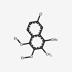 CCOc1c(C)c(OC(C)=O)c2cc(Cl)ccc2c1OCC